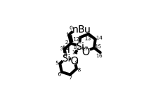 CCCCC=C(C[SiH]1CCCCO1)[Si]1(C)CCCC(C)O1